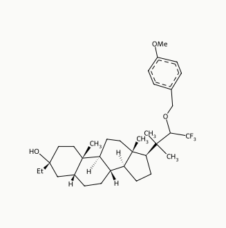 CC[C@@]1(O)CC[C@@]2(C)[C@H](CC[C@@H]3[C@@H]2CC[C@]2(C)[C@@H](C(C)(C)C(OCc4ccc(OC)cc4)C(F)(F)F)CC[C@@H]32)C1